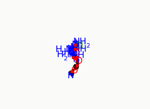 NN=NC1=NC(N=NN)=C(Cl)NC1C(=O)NC1NC2(CCN(C(=O)CCc3ccc(OCc4ccncc4)cc3)CC2)CN1N